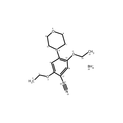 CCOc1cc(N2CCOCC2)c(OCC)cc1[N+]#N.[BH4-]